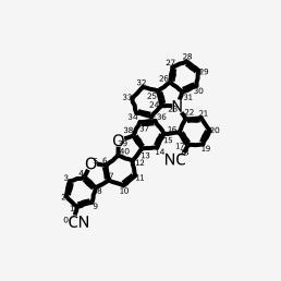 N#Cc1ccc2oc3c(c2c1)C=CC1c2cc(-c4c(C#N)cccc4-n4c5c(c6ccccc64)CCC=C5)ccc2OC31